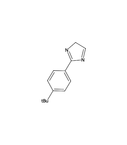 CC(C)(C)c1ccc(C2=NCC=N2)cc1